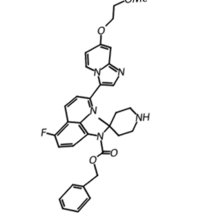 COCCOc1ccn2c(-c3ccc4c(F)ccc(N(C(=O)OCc5ccccc5)C5(C)CCNCC5)c4n3)cnc2c1